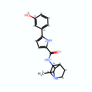 CC1C(NC(=O)c2ccc(-c3cccc(O)c3)[nH]2)C2CCN1CC2